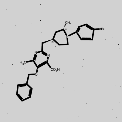 Cc1nc(C[C@@H]2CCN(c3ccc(C(C)(C)C)cc3)[C@@H](C)C2)nc(C(=O)O)c1OCc1ccccc1